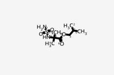 CC(C)COC(=O)C(C)(C)NS(N)(=O)=O